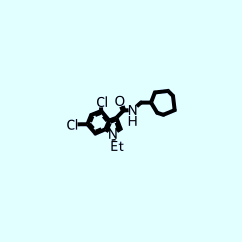 CCn1cc(C(=O)NCC2CCCCCC2)c2c(Cl)cc(Cl)cc21